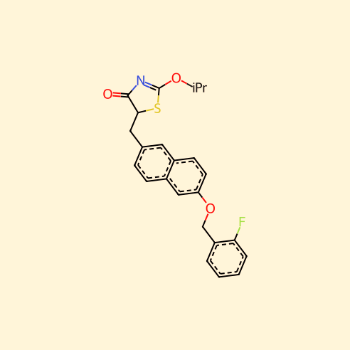 CC(C)OC1=NC(=O)C(Cc2ccc3cc(OCc4ccccc4F)ccc3c2)S1